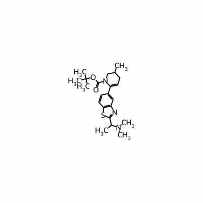 CC1CC=C(c2ccc3sc(C(C)N(C)C)nc3c2)N(C(=O)OC(C)(C)C)C1